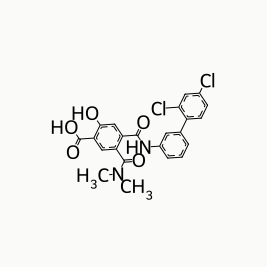 CN(C)C(=O)c1cc(C(=O)O)c(O)cc1C(=O)Nc1cccc(-c2ccc(Cl)cc2Cl)c1